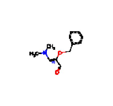 CN(C)/C=C(/C=O)OCc1ccccc1